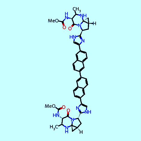 COC(=O)N[C@@H]1C(=O)N2[C@H](c3nc(-c4ccc5cc(-c6ccc7cc(-c8c[nH]c([C@@H]9C[C@H]%10C[C@]%10%11NC(C)[C@H](NC(=O)OC)C(=O)N9%11)n8)ccc7c6)ccc5c4)c[nH]3)C[C@H]3C[C@]32NC1C